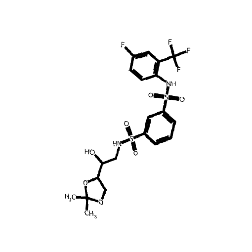 CC1(C)OCC(C(O)CNS(=O)(=O)c2cccc(S(=O)(=O)Nc3ccc(F)cc3C(F)(F)F)c2)O1